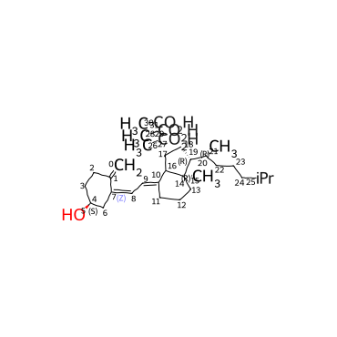 C=C1CC[C@H](O)C/C1=C/C=C1CCC[C@@]2(C)C1CC[C@@H]2[C@H](C)CCCC(C)C.CC(=O)O.CC(=O)O.CC(=O)O